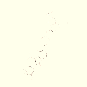 Cc1cc(-c2[nH]c3ccc(C4CCN(CC(=O)N5C[C@@H](C(F)(F)F)C[C@H]5CO)CC4)cc3c2C(C)C)cc(C)n1